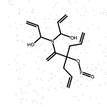 C=CCC(CC=C)(OP=O)C(=C)N(C(O)C=C)C(O)C=C